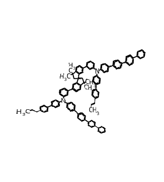 CCCc1ccc(-c2ccc(N(c3ccc(-c4ccc(-c5ccc(-c6ccccc6)cc5)cc4)cc3)c3cccc(-c4ccc5c(c4)C4(CC5(C)C)CC(C)(C)c5ccc(-c6cccc(N(c7ccc(-c8ccc(CCC)cc8)cc7)c7ccc(-c8ccc(-c9ccc(-c%10ccccc%10)cc9)cc8)cc7)c6)cc54)c3)cc2)cc1